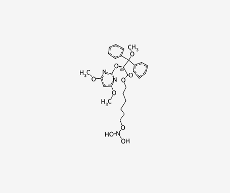 COc1cc(OC)nc(O[C@H](C(=O)OCCCCCCON(O)O)C(OC)(c2ccccc2)c2ccccc2)n1